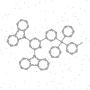 Cc1cccc([Si](c2ccccc2)(c2ccccc2)c2cccc(-c3cc(-n4c5ccccc5c5ccccc54)cc(-n4c5ccccc5c5ccccc54)n3)c2)c1